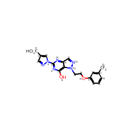 O=C(O)c1cnn(-c2nc(O)c3c(cnn3CCOc3cccc(C(F)(F)F)c3)n2)c1